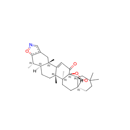 C[C@@H]1c2oncc2C[C@]2(C)C3=CC(=O)[C@]45OC(=O)[C@@]6(CCC(C)(C)C[C@H]64)CC[C@@]5(C)[C@]3(C)CC[C@@H]12